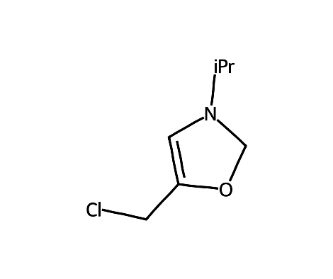 CC(C)N1C=C(CCl)OC1